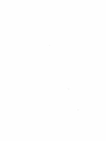 Cc1cc(NC(=O)CC(=O)O)cc(C)c1Oc1ccc(O)c(S(=O)(=O)CC2CCCC2)c1